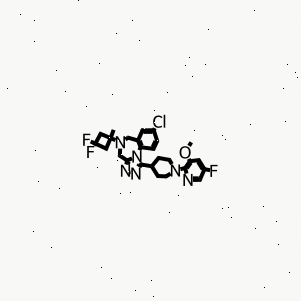 COc1cc(F)cnc1N1CCC(c2nnc3n2-c2ccc(Cl)cc2CN(C2(C)CC(F)(F)C2)C3)CC1